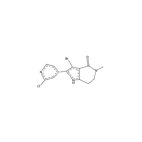 CN1CCc2[nH]c(-c3ccnc(Cl)c3)c(Br)c2C1=O